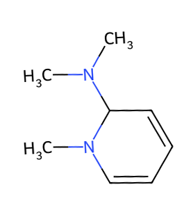 CN(C)C1C=CC=CN1C